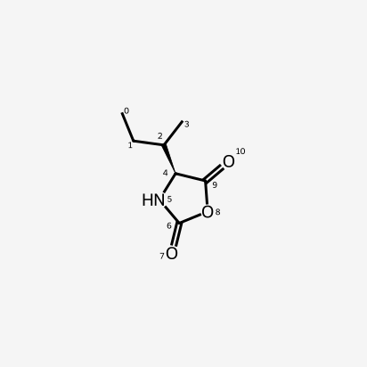 CCC(C)[C@@H]1NC(=O)OC1=O